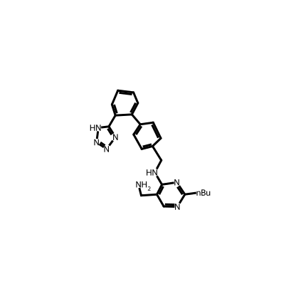 CCCCc1ncc(CN)c(NCc2ccc(-c3ccccc3-c3nnn[nH]3)cc2)n1